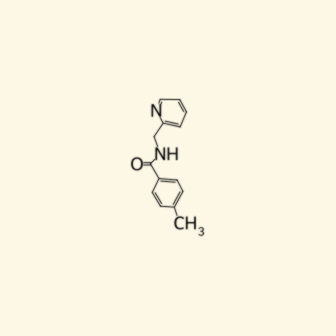 Cc1ccc(C(=O)NCc2ccccn2)cc1